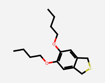 CCCCOc1cc2c(cc1OCCCC)CSC2